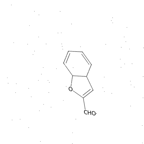 O=[C]C1=CC2C=CC=CC2O1